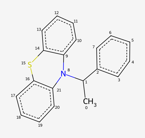 CC(c1ccccc1)N1c2ccccc2Sc2ccccc21